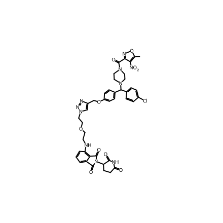 Cc1onc(C(=O)N2CCN(C(c3ccc(Cl)cc3)c3ccc(OCc4cn(CCOCCNc5cccc6c5C(=O)N(C5CCC(=O)NC5=O)C6=O)nn4)cc3)CC2)c1[N+](=O)[O-]